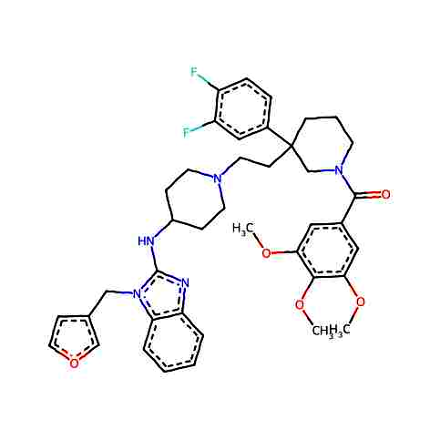 COc1cc(C(=O)N2CCCC(CCN3CCC(Nc4nc5ccccc5n4Cc4ccoc4)CC3)(c3ccc(F)c(F)c3)C2)cc(OC)c1OC